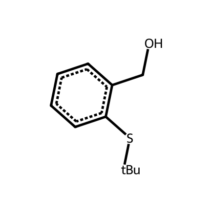 CC(C)(C)Sc1ccccc1CO